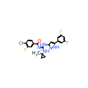 CC1(N/C(=N/C(=O)c2ccc(Cl)c(F)c2)Nc2cc(-c3cc(F)cc(F)c3)[nH]n2)CC1